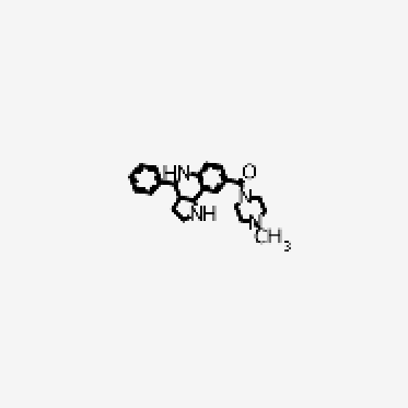 CN1CCN(C(=O)c2ccc3c(c2)C2NCCC2C(c2ccccc2)N3)CC1